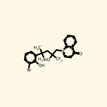 CC(C)(CC(O)(Cn1ccc(=O)c2ccccc21)C(F)(F)F)c1cccc(Br)c1O